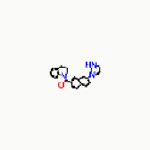 O=C(c1ccc2ccc(N3C=CCNC3)cc2c1)N1CCCc2ccccc21